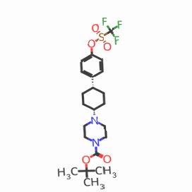 CC(C)(C)OC(=O)N1CCN([C@H]2CC[C@@H](c3ccc(OS(=O)(=O)C(F)(F)F)cc3)CC2)CC1